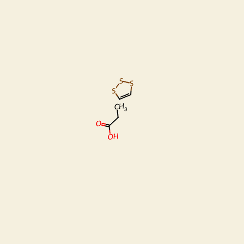 C1=CSSS1.CCC(=O)O